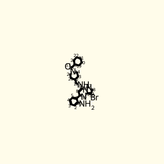 Nc1ccccc1-c1cc(NCC2CCN(C(=O)C3CCCCC3)CC2)n2ncc(Br)c2n1